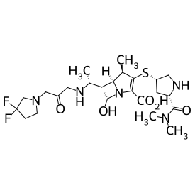 C[C@@H](NCC(=O)CN1CCC(F)(F)C1)[C@H]1C(O)N2C(C(=O)O)=C(S[C@@H]3CN[C@H](C(=O)N(C)C)C3)[C@H](C)[C@H]12